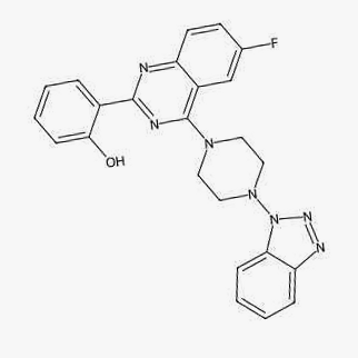 Oc1ccccc1-c1nc(N2CCN(n3nnc4ccccc43)CC2)c2cc(F)ccc2n1